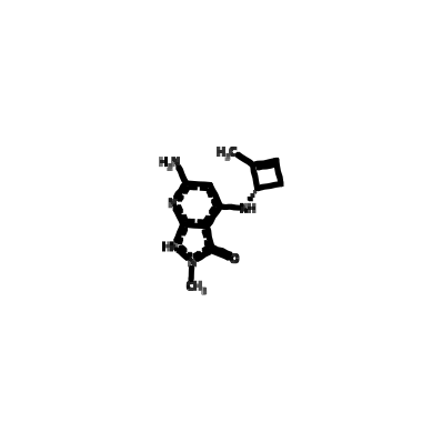 CC1=CC[C@@H]1Nc1cc(N)nc2[nH]n(C)c(=O)c12